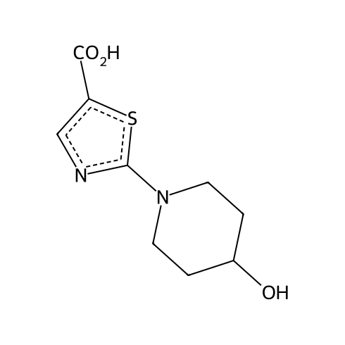 O=C(O)c1cnc(N2CCC(O)CC2)s1